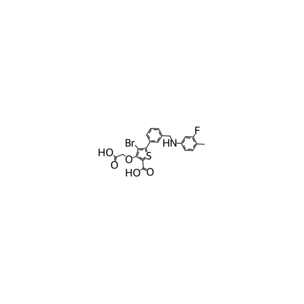 Cc1ccc(NCc2cccc(-c3sc(C(=O)O)c(OCC(=O)O)c3Br)c2)cc1F